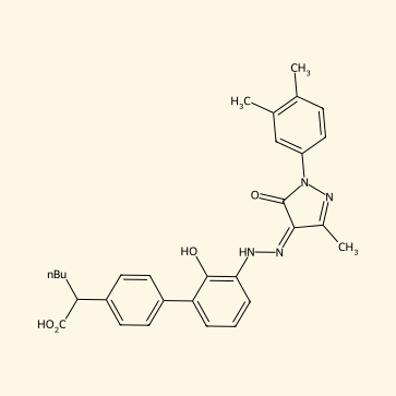 CCCCC(C(=O)O)c1ccc(-c2cccc(NN=C3C(=O)N(c4ccc(C)c(C)c4)N=C3C)c2O)cc1